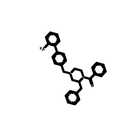 O=C(c1ccccc1)N1CCN(Cc2ccc(-c3ccccc3C(F)(F)F)cc2)CC1Cc1ccccc1